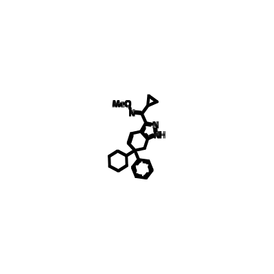 CON=C(c1n[nH]c2c1C=CC(c1ccccc1)(C1CCCCC1)C2)C1CC1